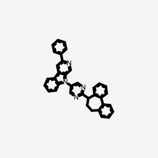 c1ccc(-c2cc3c4ccccc4n(-c4cnc(C5CCc6ccccc6-c6ccccc65)nc4)c3cn2)cc1